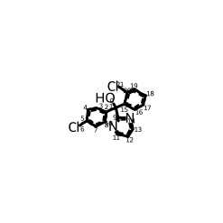 OC(c1ccc(Cl)cc1)(c1ncccn1)c1ccccc1Cl